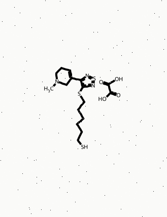 CN1CCC=C(c2nsnc2SCCCCCCS)C1.O=C(O)C(=O)O